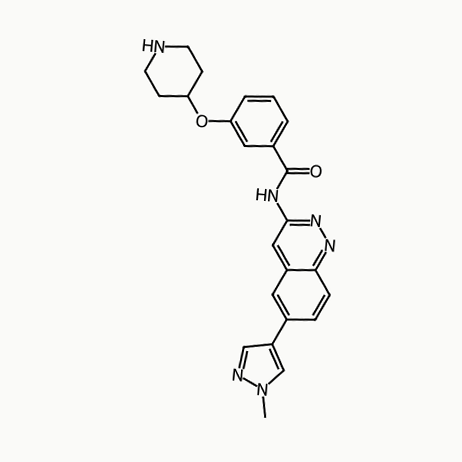 Cn1cc(-c2ccc3nnc(NC(=O)c4cccc(OC5CCNCC5)c4)cc3c2)cn1